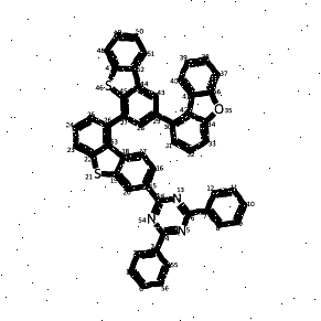 c1ccc(-c2nc(-c3ccccc3)nc(-c3ccc4c(c3)sc3cccc(-c5cc(-c6cccc7oc8ccccc8c67)cc6c5sc5ccccc56)c34)n2)cc1